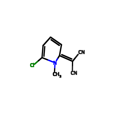 CN1C(Cl)=CC=CC1=C(C#N)C#N